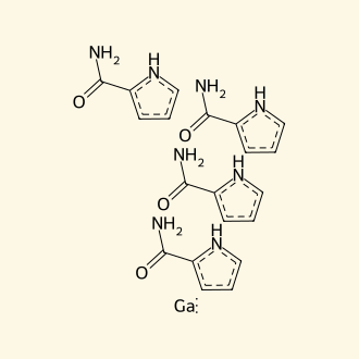 NC(=O)c1ccc[nH]1.NC(=O)c1ccc[nH]1.NC(=O)c1ccc[nH]1.NC(=O)c1ccc[nH]1.[Ga]